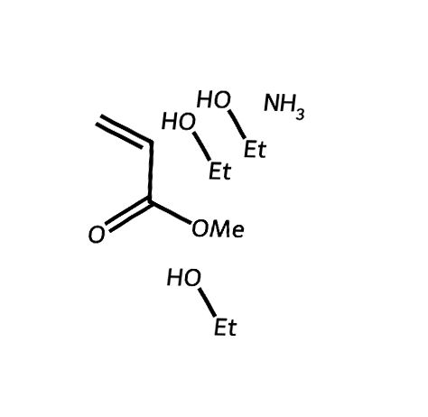 C=CC(=O)OC.CCO.CCO.CCO.N